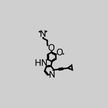 COc1cc2c(cc1OCCCN(C)C)[nH]c1ccnc(C#CC3CC3)c12